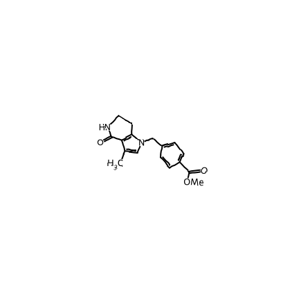 COC(=O)c1ccc(Cn2cc(C)c3c2CCNC3=O)cc1